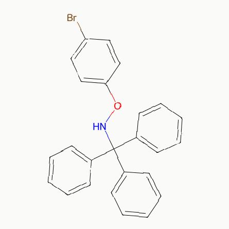 Brc1ccc(ONC(c2ccccc2)(c2ccccc2)c2ccccc2)cc1